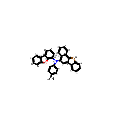 N#Cc1ccc(N(c2cc3c4ccccc4sc3c3ccccc23)c2cccc3c2oc2ccccc23)cc1